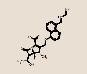 C[C@@H](O)[C@H]1C(=O)N2C(C(=O)O)=C(COc3cccc4c(CNC=N)cccc34)[C@H](C)[C@H]12